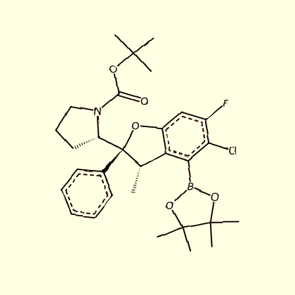 C[C@H]1c2c(cc(F)c(Cl)c2B2OC(C)(C)C(C)(C)O2)O[C@@]1(c1ccccc1)[C@@H]1CCCN1C(=O)OC(C)(C)C